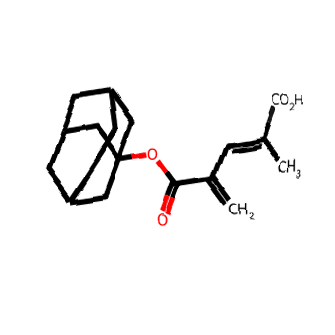 C=C(C=C(C)C(=O)O)C(=O)OC12CC3CC(CC(C3)C1)C2